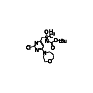 CC(C)(C)OC(=O)N=S(C)(=O)Cc1cc(N2CCCOCC2)nc(Cl)n1